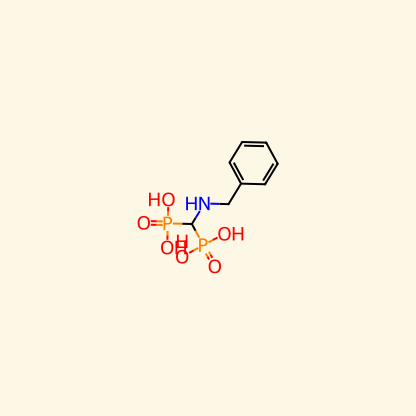 O=P(O)(O)C(NCc1ccccc1)P(=O)(O)O